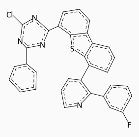 Fc1cccc(-c2ncccc2-c2cccc3c2sc2c(-c4nc(Cl)nc(-c5ccccc5)n4)cccc23)c1